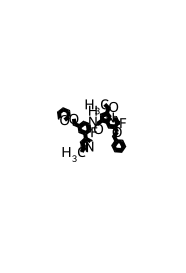 CC(=O)c1cc(C(=O)Nc2cc(COC3CCCCO3)cc(-c3cnn(C)c3)c2F)c2cc(OCc3ccccc3)c(F)cn12